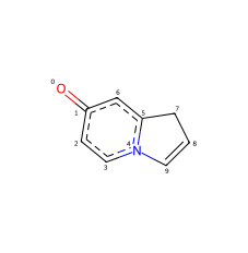 O=c1ccn2c(c1)CC=C2